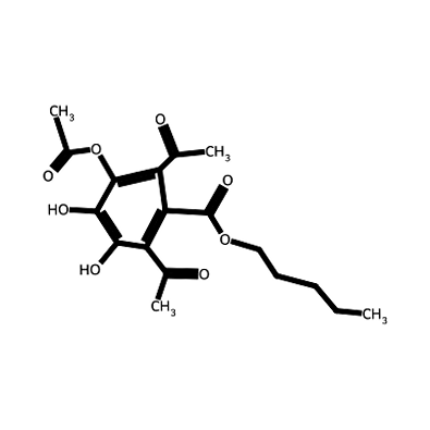 CCCCCOC(=O)c1c(C(C)=O)c(O)c(O)c(OC(C)=O)c1C(C)=O